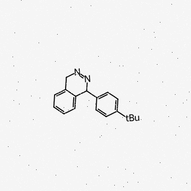 CC(C)(C)c1ccc(C2N=NCc3ccccc32)cc1